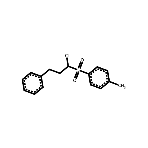 Cc1ccc(S(=O)(=O)C(Cl)CCc2ccccc2)cc1